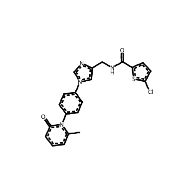 Cc1cccc(=O)n1-c1ccc(-n2cnc(CNC(=O)c3ccc(Cl)s3)c2)cc1